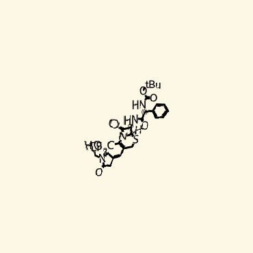 CC(C)(C)OC(=O)N[C@@H](C(=O)N[C@@H]1C(=O)N2C(C(=O)O)=C(C=C3CC(=O)N(CC(F)(F)F)C3)CS[C@H]12)c1ccccc1